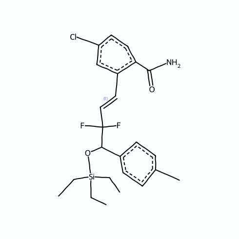 CC[Si](CC)(CC)OC(c1ccc(C)cc1)C(F)(F)/C=C/c1cc(Cl)ccc1C(N)=O